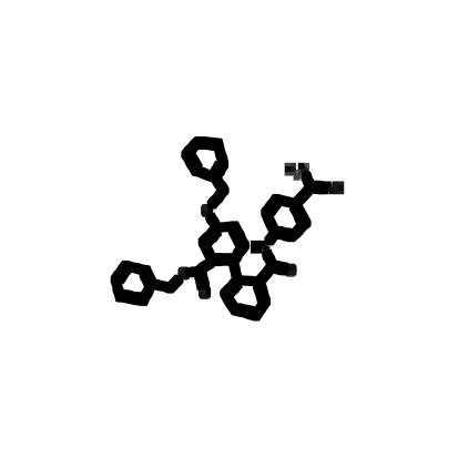 N=C(N)c1ccc(NC(=O)c2ccccc2-c2ccc(OCc3ccccc3)cc2C(=O)OCc2ccccc2)cc1